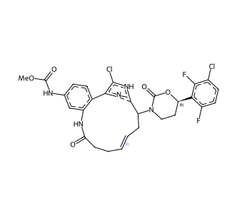 COC(=O)Nc1ccc2c(c1)NC(=O)CC/C=C/CC(N1CC[C@H](c3c(F)ccc(Cl)c3F)OC1=O)c1nc-2c(Cl)[nH]1